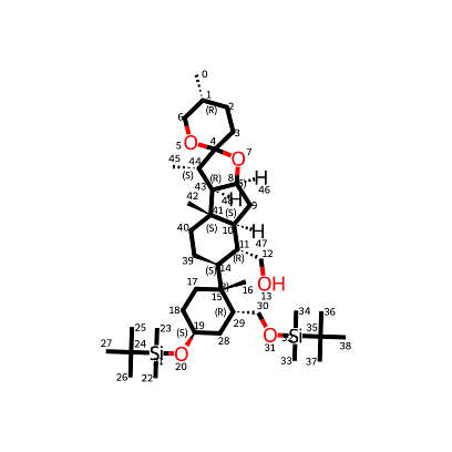 C[C@@H]1CCC2(OC1)O[C@H]1C[C@H]3[C@H](CO)[C@@H]([C@@]4(C)CC[C@H](O[Si](C)(C)C(C)(C)C)C[C@H]4CO[Si](C)(C)C(C)(C)C)CC[C@]3(C)[C@H]1[C@@H]2C